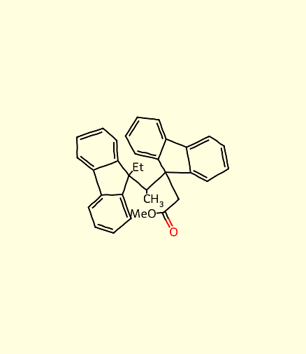 CCC1(C(C)C2(CC(=O)OC)c3ccccc3-c3ccccc32)c2ccccc2-c2ccccc21